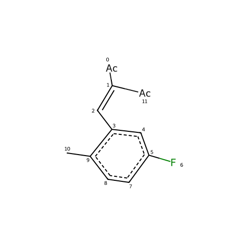 CC(=O)C(=Cc1cc(F)ccc1C)C(C)=O